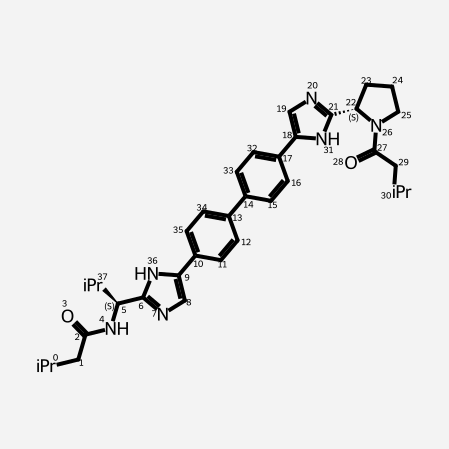 CC(C)CC(=O)N[C@H](c1ncc(-c2ccc(-c3ccc(-c4cnc([C@@H]5CCCN5C(=O)CC(C)C)[nH]4)cc3)cc2)[nH]1)C(C)C